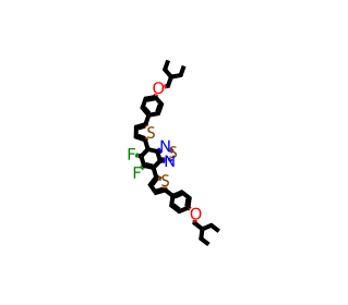 CCC(CC)COc1ccc(-c2ccc(C3=C(F)C(F)C(c4ccc(-c5ccc(OCC(CC)CC)cc5)s4)c4nsnc43)s2)cc1